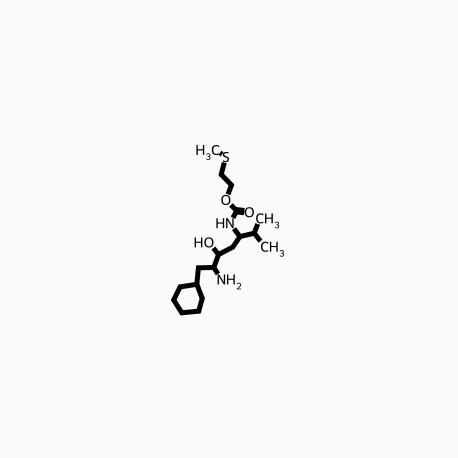 CSCCOC(=O)NC(CC(O)C(N)CC1CCCCC1)C(C)C